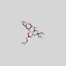 CCOC(=O)CO[C@@H]1C[C@@H](CC)OC[C@@H]1NC(=O)OC(C)(C)C